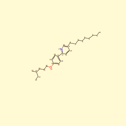 CCCCCCCCCc1ccc(-c2ccc(OCCCC(C)CC)cc2)nc1